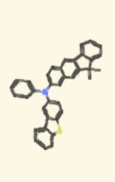 CC1(C)c2ccccc2-c2cc3ccc(N(c4ccccc4)c4ccc5sc6ccccc6c5c4)cc3cc21